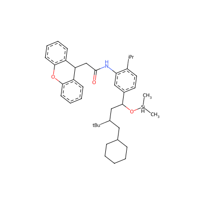 CC(C)c1ccc(C(CC(CC2CCCCC2)C(C)(C)C)O[SiH](C)C)cc1NC(=O)CC1c2ccccc2Oc2ccccc21